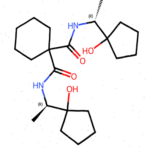 C[C@@H](NC(=O)C1(C(=O)N[C@H](C)C2(O)CCCC2)CCCCC1)C1(O)CCCC1